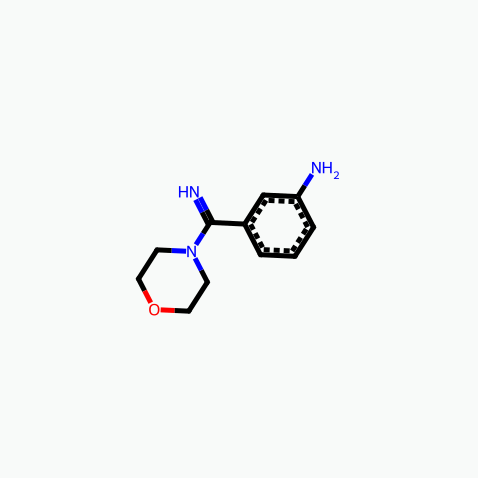 N=C(c1cccc(N)c1)N1CCOCC1